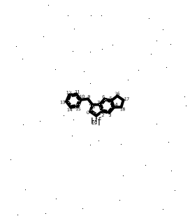 C1=Cc2cc3c(cc2[C]1Cc1ccccc1)CCC3.[Hf]